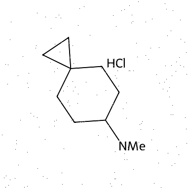 CNC1CCC2(CC1)CC2.Cl